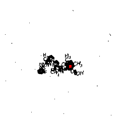 COC(=O)c1nc(N2CCCc3c2nnc(Nc2nc4cccc(F)c4s2)c3C)ccc1-c1cnn(CC23CC4(C)CC(C)(C2)CC(OCCO)(C4)C3)c1C